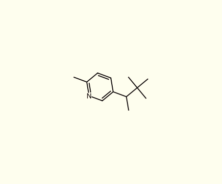 Cc1ccc(C(C)C(C)(C)C)cn1